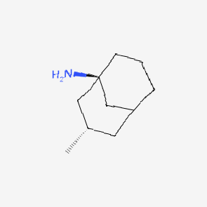 C[C@H]1CC2CCC[C@](N)(C2)C1